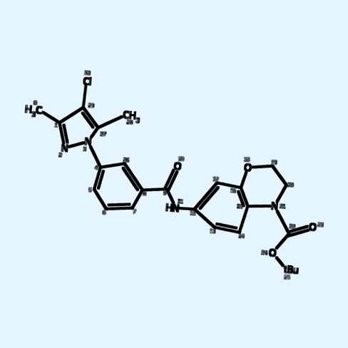 Cc1nn(-c2cccc(C(=O)Nc3ccc4c(c3)OCCN4C(=O)OC(C)(C)C)c2)c(C)c1Cl